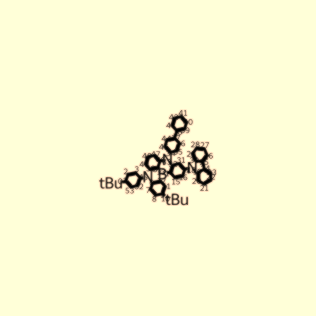 CC(C)(C)c1ccc(N2c3ccc(C(C)(C)C)cc3B3c4ccc(-n5c6ccccc6c6ccccc65)cc4N(c4ccc(-c5ccccc5)cc4)c4cccc2c43)cc1